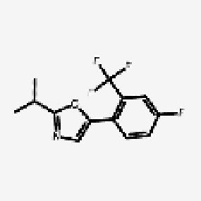 CC(C)c1ncc(-c2ccc(F)cc2C(F)(F)F)o1